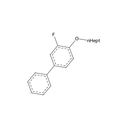 CCCCCCCOc1ccc(-c2cc[c]cc2)cc1F